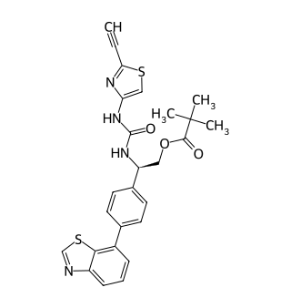 C#Cc1nc(NC(=O)N[C@@H](COC(=O)C(C)(C)C)c2ccc(-c3cccc4ncsc34)cc2)cs1